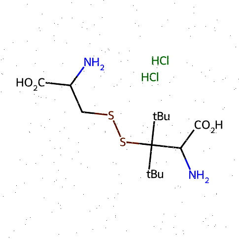 CC(C)(C)C(SSCC(N)C(=O)O)(C(N)C(=O)O)C(C)(C)C.Cl.Cl